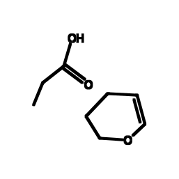 C1=COCCC1.CCC(=O)O